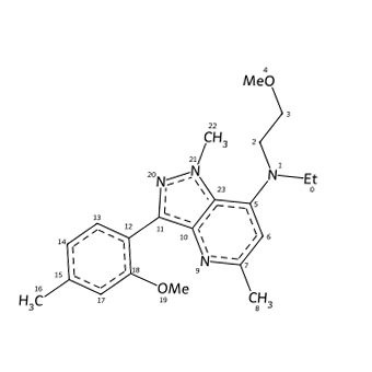 CCN(CCOC)c1cc(C)nc2c(-c3ccc(C)cc3OC)nn(C)c12